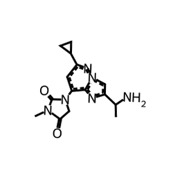 CC(N)c1cn2nc(C3CC3)cc(N3CC(=O)N(C)C3=O)c2n1